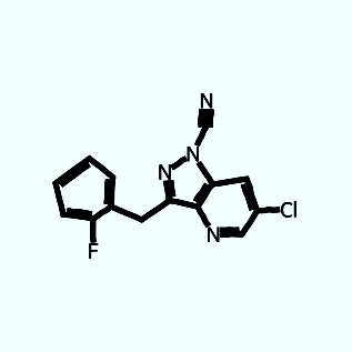 N#Cn1nc(Cc2ccccc2F)c2ncc(Cl)cc21